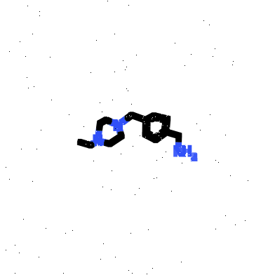 CCN1CCN(Cc2ccc(CN)cc2)CC1